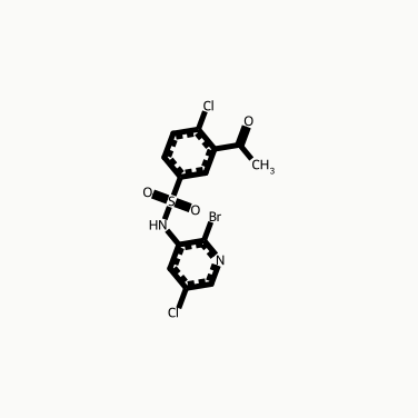 CC(=O)c1cc(S(=O)(=O)Nc2cc(Cl)cnc2Br)ccc1Cl